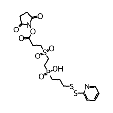 O=C(CCS(=O)(=O)CCP(=O)(O)CCCSSc1ccccn1)ON1C(=O)CCC1=O